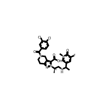 CC(NC[C@@H](C)n1nc2c(c1C(=O)O)CN(C(=O)c1ccc(Cl)c(Cl)c1)CC2)c1cc(F)c(=O)n(C)c1